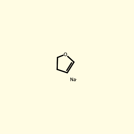 C1=COCC1.[Na]